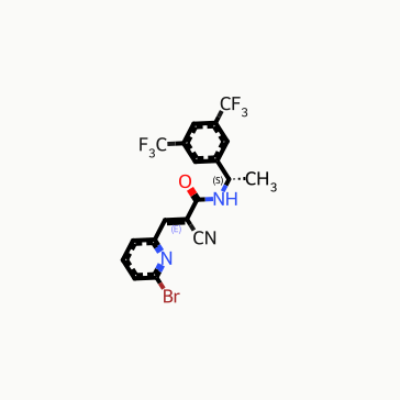 C[C@H](NC(=O)/C(C#N)=C/c1cccc(Br)n1)c1cc(C(F)(F)F)cc(C(F)(F)F)c1